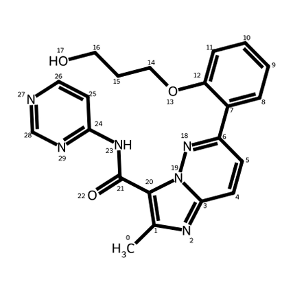 Cc1nc2ccc(-c3ccccc3OCCCO)nn2c1C(=O)Nc1ccncn1